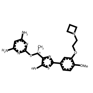 CCCc1sc(-c2ccc(OC)c(OCCN3CCC3)c2)nc1[C@@H](C)Sc1nc(N)cc(N)n1